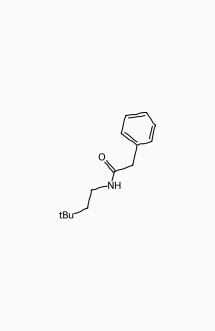 CC(C)(C)CCNC(=O)Cc1ccccc1